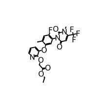 CCOC(=O)COc1ncccc1Oc1cc(-n2c(=O)cc(C(F)(F)F)n(C)c2=O)c(F)cc1C